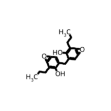 CCCc1c(O)c(Cc2cc3c(c(CCC)c2O)O3)cc2c1O2